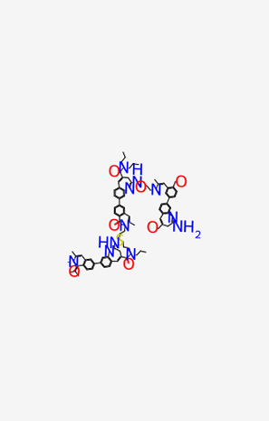 CCCN(CCC)C(=O)C1=Cc2ccc(-c3ccc(C=O)c(/C=C(/C)N(C)CCSNC4=Nc5cc(-c6ccc(C=O)c(/C=C(/C)N(C)CC(C)C)c6)ccc5C=C(C(=O)N(CCC)CCC)C4)c3)cc2N=C(NOCCN(C)/C(C)=C\c2cc(-c3ccc4c(c3)N=C(N)CC(C=O)=C4)ccc2C=O)C1